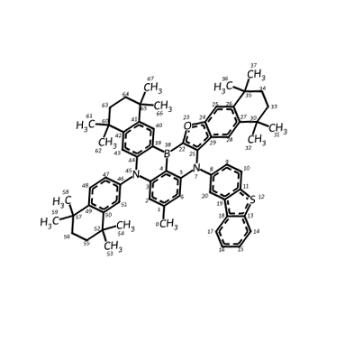 Cc1cc2c3c(c1)N(c1ccc4sc5ccccc5c4c1)c1c(oc4cc5c(cc14)C(C)(C)CCC5(C)C)B3c1cc3c(cc1N2c1ccc2c(c1)C(C)(C)CCC2(C)C)C(C)(C)CCC3(C)C